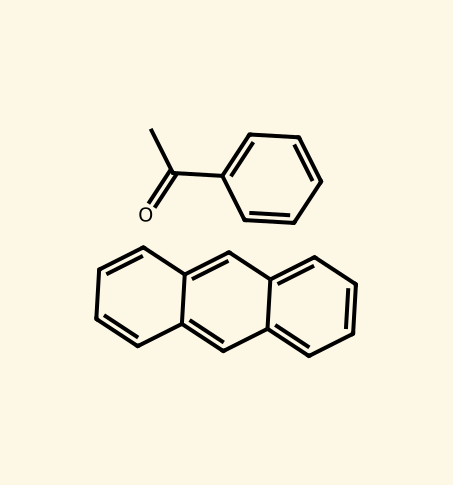 CC(=O)c1ccccc1.c1ccc2cc3ccccc3cc2c1